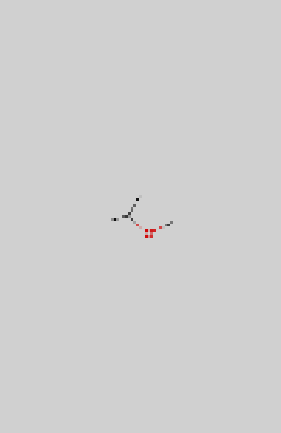 CO[C](C)C